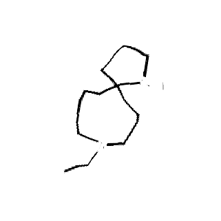 CCN1CCC2(CCCN2)CC1